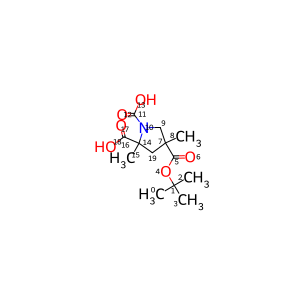 CC(C)(C)OC(=O)C1(C)CN(C(=O)O)C(C)(C(=O)O)C1